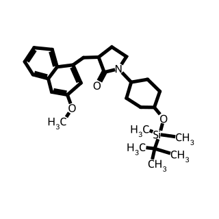 COc1cc(CC2CCN(C3CCC(O[Si](C)(C)C(C)(C)C)CC3)C2=O)c2ccccc2c1